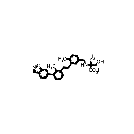 Cc1c(/C=C/c2cc(CNC(C)(CO)C(=O)O)ccc2C(F)(F)F)cccc1-c1ccc2cnoc2c1